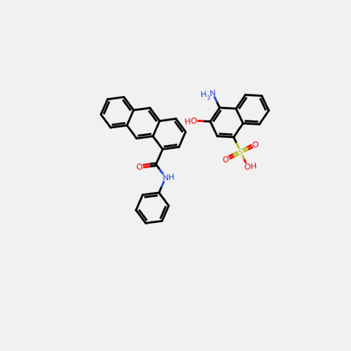 Nc1c(O)cc(S(=O)(=O)O)c2ccccc12.O=C(Nc1ccccc1)c1cccc2cc3ccccc3cc12